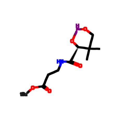 CC(C)(C)OC(=O)CCNC(=O)[C@@H]1OPOCC1(C)C